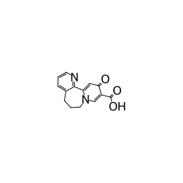 O=C(O)c1cn2c(cc1=O)-c1ncccc1CCC2